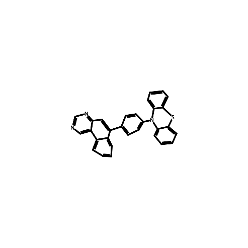 c1ccc2c(c1)Sc1ccccc1N2c1ccc(-c2cc3ncncc3c3ccccc23)cc1